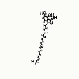 CCCCCCCOCCCCCCCCCCc1ccc(O)c(O)c1C(=O)O